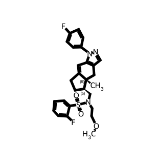 COCCN(C[C@H]1CCC2=Cc3c(cnn3-c3ccc(F)cc3)C[C@@]21C)S(=O)(=O)c1ccccc1F